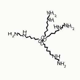 NCCNCCCCCCOC(OCCCCCCNCCN)(OCCCCCCNCCN)OCCCCCCNCCN